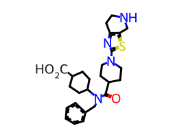 O=C(O)C1CCC(N(Cc2ccccc2)C(=O)C2CCN(c3nc4c(s3)CNCC4)CC2)CC1